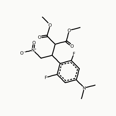 COC(=O)C(C(=O)OC)C(C[N+](=O)[O-])c1c(F)cc(N(C)C)cc1F